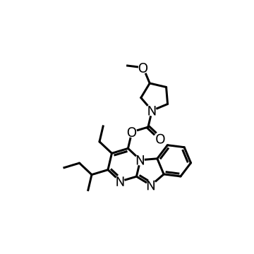 CCc1c(C(C)CC)nc2nc3ccccc3n2c1OC(=O)N1CCC(OC)C1